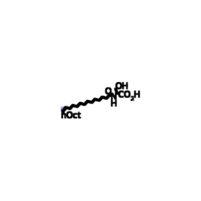 CCCCCCCC/C=C\CCCCCCCCCCCC(=O)NC(CO)C(=O)O